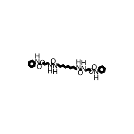 O=C(NCCCCCCCCNC(=O)NCCOC(=O)NC1CCCCC1)NCCOC(=O)NC1CCCCC1